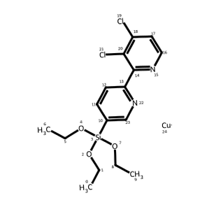 CCO[Si](OCC)(OCC)c1ccc(-c2nccc(Cl)c2Cl)nc1.[Cu]